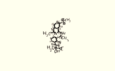 Cc1nc(N[C@H](C)c2cccc(C(F)(F)[C@](C)(O)C3CC3)c2F)c2cc(S(C)(=O)=O)ncc2n1